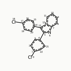 Clc1ccc(-c2nc3cc[c]cn3c2-c2ccc(Cl)cc2)cc1